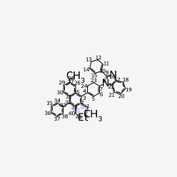 C/C=c1/c(C2=CC=C(n3c(C4=CCCC=C4)nc4ccccc43)CC2)c2cc(C)ccc2c(-c2ccccc2)/c1=C/CC